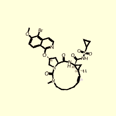 COc1ccc2c(O[C@@H]3CC4C(=O)N[C@]5(C(=O)NS(=O)(=O)C6CC6)C[C@H]5/C=C\CCCCN(C)C(=O)N4C3)nccc2c1Br